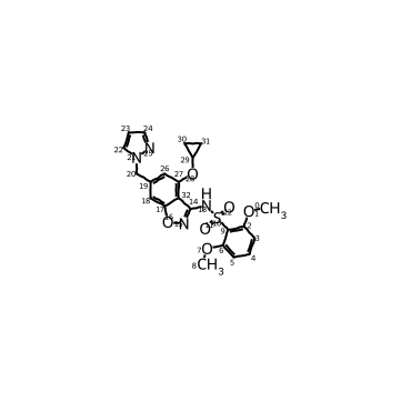 COc1cccc(OC)c1S(=O)(=O)Nc1noc2cc(Cn3cccn3)cc(OC3CC3)c12